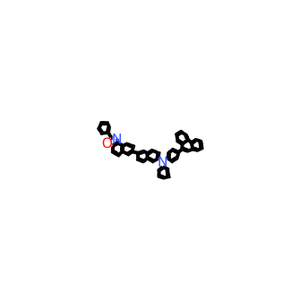 c1ccc(-c2nc3c(ccc4cc(-c5ccc6cc(N(c7ccccc7)c7ccc(-c8cc9ccccc9c9ccccc89)cc7)ccc6c5)ccc43)o2)cc1